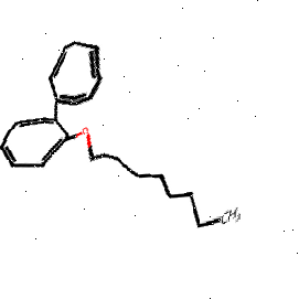 CCCCCCCCOc1ccccc1-c1ccccc1